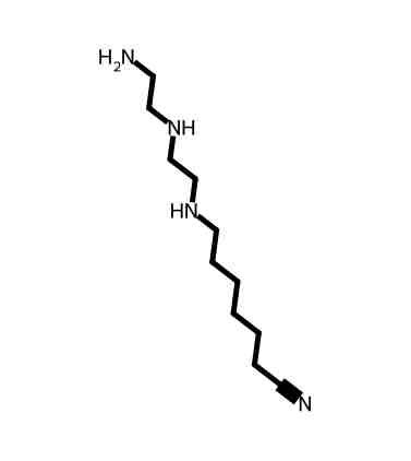 N#CCCCCCCNCCNCCN